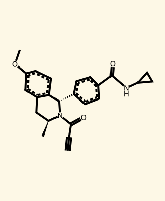 C#CC(=O)N1[C@@H](c2ccc(C(=O)NC3CC3)cc2)c2ccc(OC)cc2C[C@@H]1C